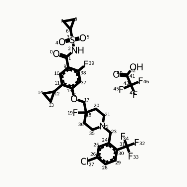 O=C(NS(=O)(=O)C1CC1)c1cc(C2CC2)c(OCC2(F)CCN(Cc3cc(Cl)ccc3C(F)(F)F)CC2)cc1F.O=C(O)C(F)(F)F